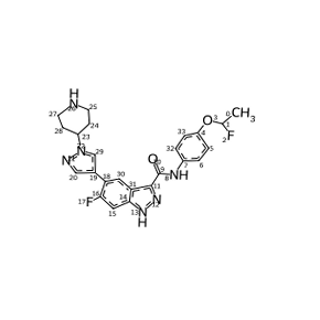 CC(F)Oc1ccc(NC(=O)c2n[nH]c3cc(F)c(-c4cnn(C5CCNCC5)c4)cc23)cc1